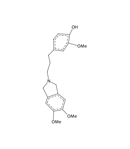 COc1cc(CCCN2Cc3cc(OC)c(OC)cc3C2)ccc1O